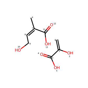 C=C(O)C(=O)O.CC(=CCO)C(=O)O